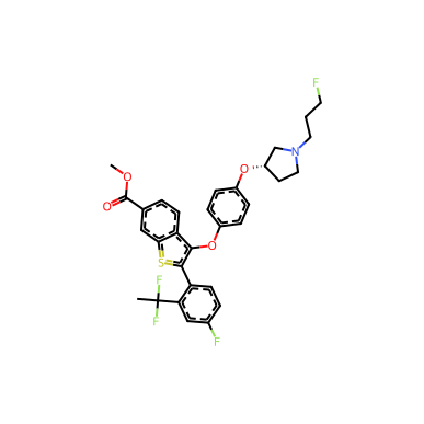 COC(=O)c1ccc2c(Oc3ccc(O[C@H]4CCN(CCCF)C4)cc3)c(-c3ccc(F)cc3C(C)(F)F)sc2c1